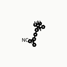 N#Cc1ccc2c(c1)c1cc(-c3ccc(-c4ccc5c(c4)nc(-c4ccccc4)c4c6cccnc6c6ncccc6c54)cc3)ccc1n2-c1ccccc1